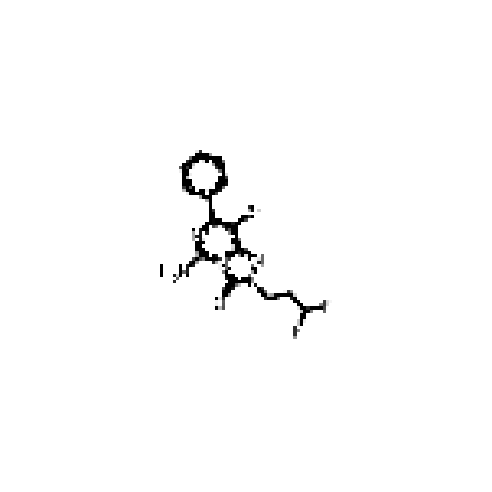 Nc1nc(-c2ccccc2)c(Br)c2nn(CCC(F)F)c(=O)n12